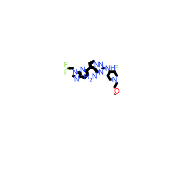 COCCN1CC[C@H](Nc2nc(N)c3c(-c4ccc5ncn(CC(F)F)c5n4)ccn3n2)[C@H](F)C1